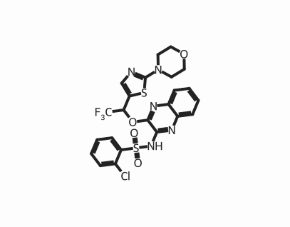 O=S(=O)(Nc1nc2ccccc2nc1OC(c1cnc(N2CCOCC2)s1)C(F)(F)F)c1ccccc1Cl